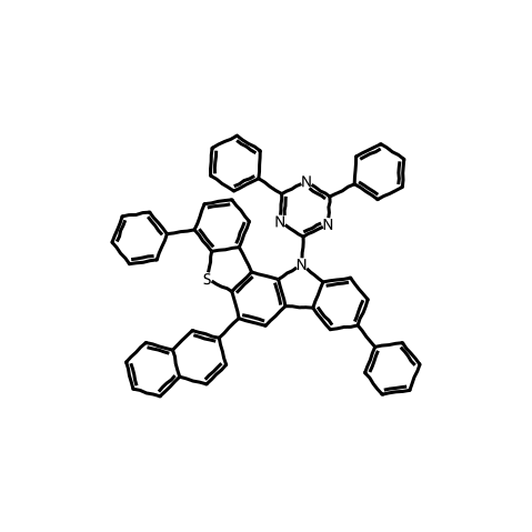 c1ccc(-c2ccc3c(c2)c2cc(-c4ccc5ccccc5c4)c4sc5c(-c6ccccc6)cccc5c4c2n3-c2nc(-c3ccccc3)nc(-c3ccccc3)n2)cc1